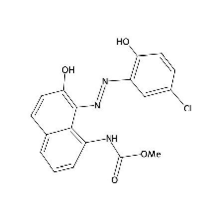 COC(=O)Nc1cccc2ccc(O)c(N=Nc3cc(Cl)ccc3O)c12